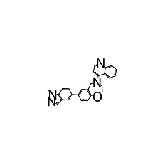 Cn1ncc2cc(-c3ccc4c(c3)CN(c3ccnc5ccccc35)CCO4)ccc21